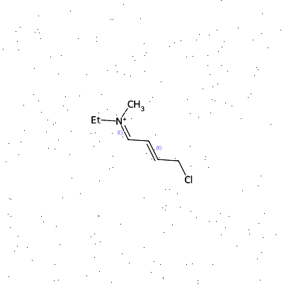 CC/[N+](C)=C/C=C/CCl